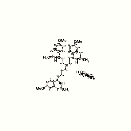 COc1ccc2c(c1)CC(C)NC2CCCCC(CCC1NC(C)Cc2cc(OC)ccc21)CCC1NC(C)Cc2cc(OC)ccc21.Cl.Cl.Cl.O.O.O